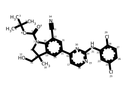 CC(C)(C)OC(=O)N1CC(C)(CO)c2cc(-c3ccnc(Nc4cc(Cl)ccc4Cl)n3)cc(C#N)c21